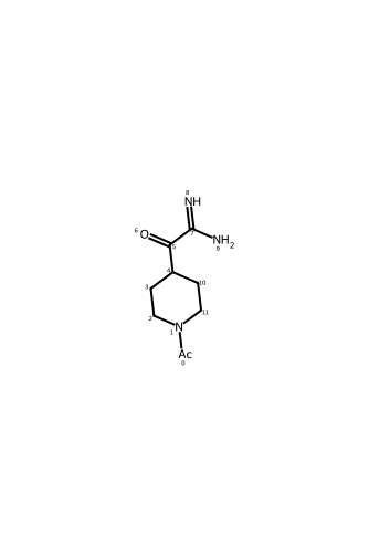 CC(=O)N1CCC(C(=O)C(=N)N)CC1